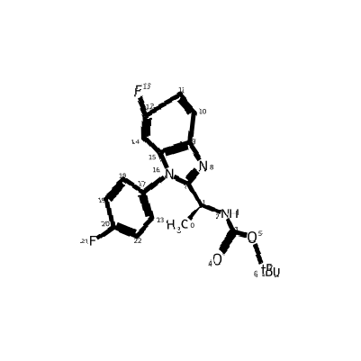 C[C@H](NC(=O)OC(C)(C)C)c1nc2ccc(F)cc2n1-c1ccc(F)cc1